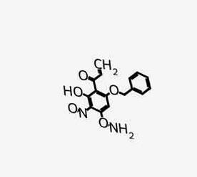 C=CC(=O)c1c(OCc2ccccc2)cc(ON)c(N=O)c1O